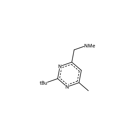 CNCc1cc(C)nc(C(C)(C)C)n1